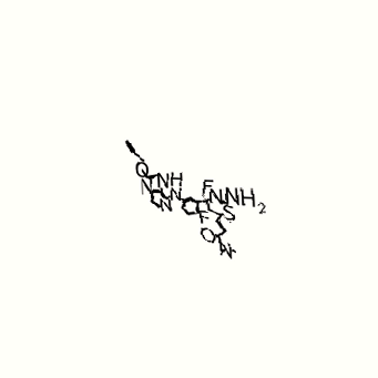 C#CCOc1cnc2c(Nc3ccc(F)c([C@]4(CF)C[C@](C)(/C=C/C(=O)N(C)C)SC(N)=N4)c3)nccc2n1